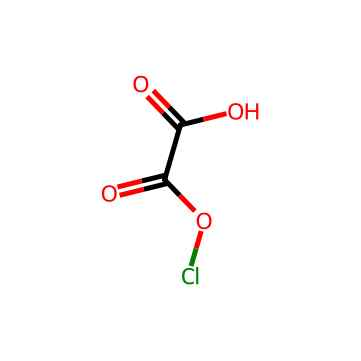 O=C(O)C(=O)OCl